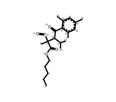 CCCCCOC(=O)C(C)(P=O)C(C(=O)c1c(C)cc(C)cc1C)C(C)C